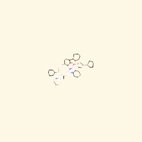 C=C1C[n+]2c(n(CC3(C)C=C(c4ccccc4)C=C3C)c3ccccc32)-c2c(ccc3c2oc2ccccc23)CCC2c3ccccc3C(C=C(C)C)=NC12